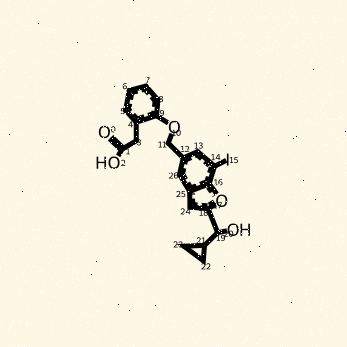 O=C(O)Cc1ccccc1OCc1cc(I)c2oc(C(O)C3CC3)cc2c1